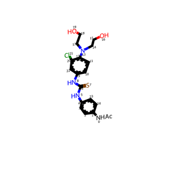 CC(=O)Nc1ccc(NC(=S)Nc2ccc(N(CCO)CCO)c(Cl)c2)cc1